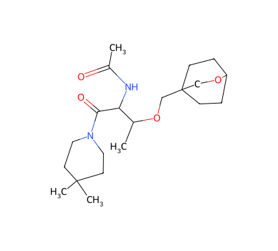 CC(=O)NC(C(=O)N1CCC(C)(C)CC1)C(C)OCC12CCC(CC1)OC2